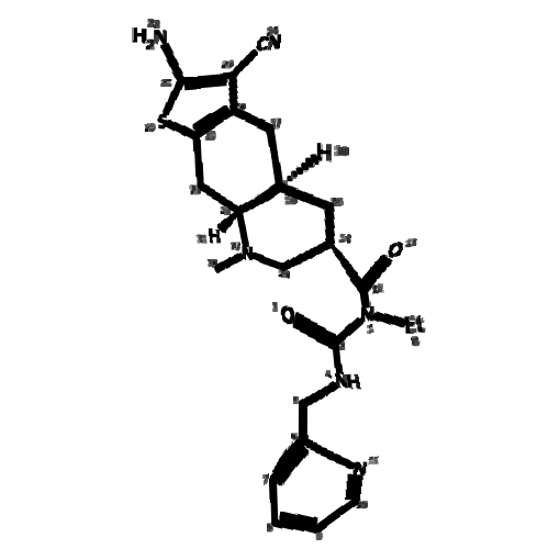 CCN(C(=O)NCc1ccccn1)C(=O)[C@@H]1C[C@@H]2Cc3c(sc(N)c3C#N)C[C@H]2N(C)C1